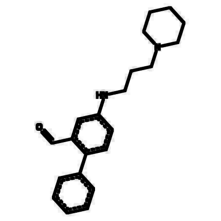 O=Cc1cc(NCCCN2CCCCC2)ccc1-c1ccccc1